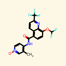 Cc1c[n+]([O-])ccc1NC(=O)c1ccc(OC(F)F)c2nc(C(F)(F)F)ccc12